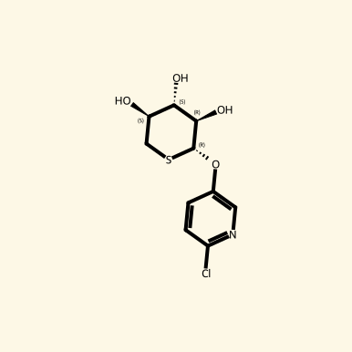 O[C@@H]1[C@@H](O)[C@H](Oc2ccc(Cl)nc2)SC[C@H]1O